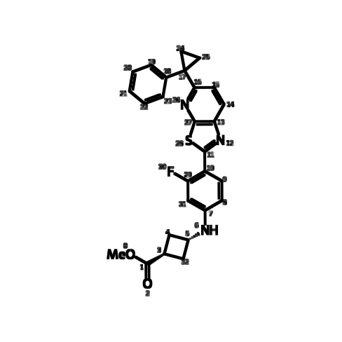 COC(=O)[C@H]1C[C@H](Nc2ccc(-c3nc4ccc(C5(c6ccccc6)CC5)nc4s3)c(F)c2)C1